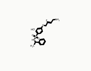 CC(NS(=O)(=O)c1ccc(OC/C(F)=C/CN)cc1)c1ccccc1.Cl